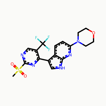 CS(=O)(=O)c1ncc(C(F)(F)F)c(-c2c[nH]c3nc(N4CCOCC4)ccc23)n1